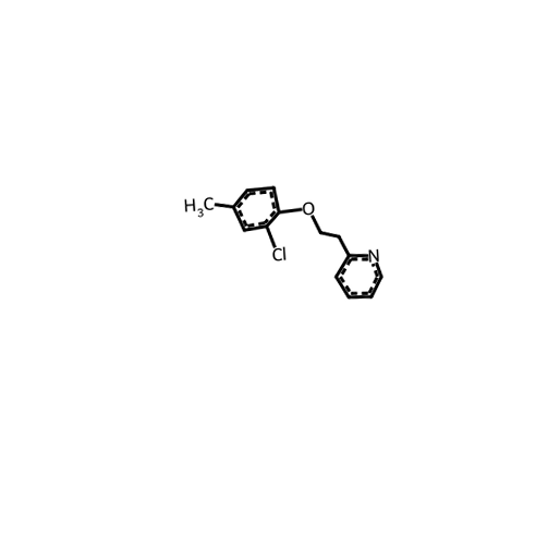 Cc1ccc(OCCc2ccccn2)c(Cl)c1